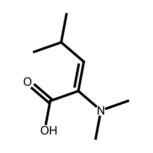 CC(C)/C=C(\C(=O)O)N(C)C